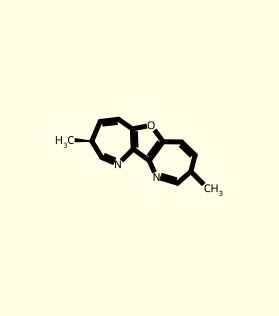 CC1C=Cc2oc3c(c2N=C1)N=C[C@@H](C)C=C3